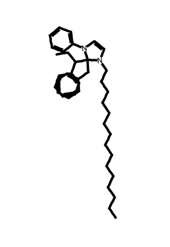 CCCCCCCCCCCCCCCN1C=CN(c2ccccc2)C1(Cc1ccccc1)C(CC)c1ccccc1